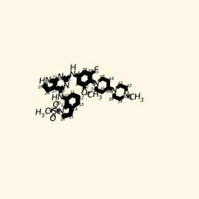 COc1cc(Nc2nc(Nc3cccc4ccn(S(C)(=O)=O)c34)c3cc[nH]c3n2)cc(F)c1N1CCC(N2CCN(C)CC2)CC1